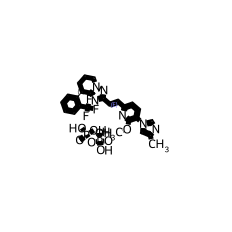 COc1nc(/C=C/c2nc3n(n2)CCC[C@H]3c2ccccc2C(F)(F)F)ccc1-n1cnc(C)c1.O=P(O)(O)OP(=O)(O)O